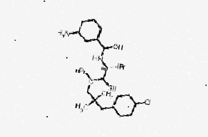 CCCN(CC(C)(C)CC1CCC(Cl)CC1)C(S)[C@H](NC(O)C1CCCC(N)C1)C(C)C